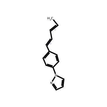 [CH2]/C=C/C=C/c1ccc(-n2cccn2)cc1